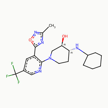 Cc1noc(-c2cc(C(F)(F)F)cnc2N2CC[C@@H](NC3CCCCC3)[C@H](O)C2)n1